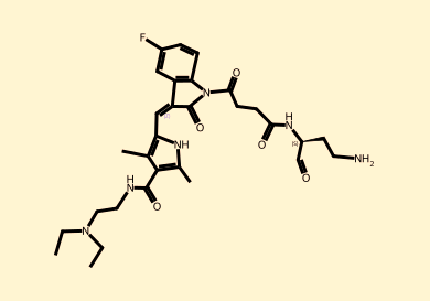 CCN(CC)CCNC(=O)c1c(C)[nH]c(/C=C2\C(=O)N(C(=O)CCC(=O)N[C@H](C=O)CCN)c3ccc(F)cc32)c1C